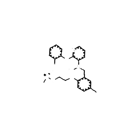 CC(=O)N(Cc1cc(C)ccc1OCCOS(C)(=O)=O)c1cccnc1Oc1ccccc1F